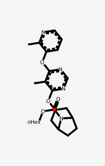 CCCCCCOC(=O)N1C2CCC1CC(Oc1ncnc(Oc3cccnc3C)c1C)C2